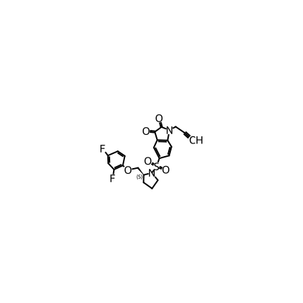 C#CCN1C(=O)C(=O)c2cc(S(=O)(=O)N3CCC[C@H]3COc3ccc(F)cc3F)ccc21